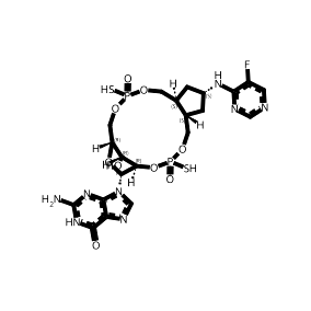 Nc1nc2c(ncn2[C@@H]2O[C@@H]3COP(=O)(S)OC[C@H]4C[C@H](Nc5ncncc5F)C[C@@H]4COP(=O)(S)O[C@@H]2[C@@H]3O)c(=O)[nH]1